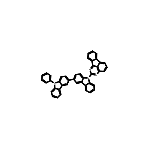 c1ccc(-n2c3ccccc3c3cc(-c4ccc5c(c4)c4ccccc4n5-c4nc5c6c(cccc6n4)-c4ccccc4-5)ccc32)cc1